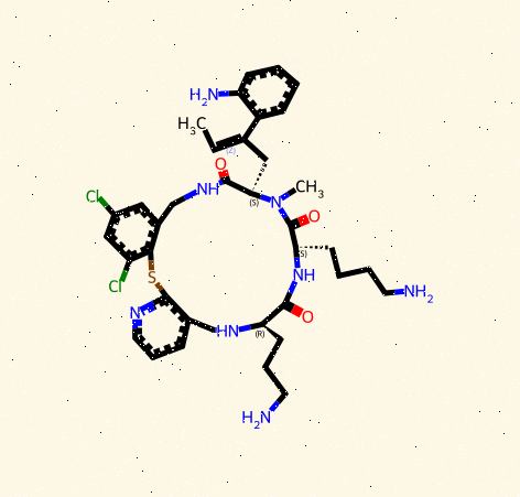 C/C=C(/C[C@H]1C(=O)NCc2cc(Cl)cc(Cl)c2Sc2ncccc2CN[C@H](CCCN)C(=O)N[C@@H](CCCCN)C(=O)N1C)c1ccccc1N